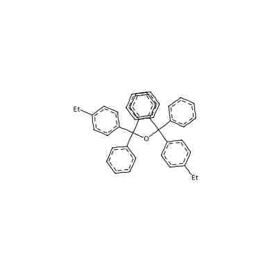 CCc1ccc(C(OC(c2ccccc2)(c2ccccc2)c2ccc(CC)cc2)(c2ccccc2)c2ccccc2)cc1